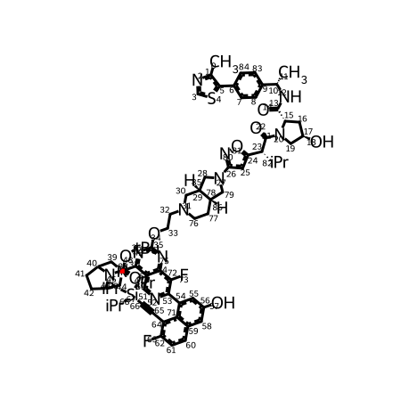 Cc1ncsc1-c1ccc([C@H](C)NC(=O)[C@@H]2C[C@@H](O)CN2C(=O)[C@@H](c2cc(N3C[C@H]4CN(CCOc5nc(N6CC7CCC(C6)N7C(=O)OC(C)(C)C)c6cnc(-c7cc(O)cc8ccc(F)c(C#C[Si](C(C)C)(C(C)C)C(C)C)c78)c(F)c6n5)CC[C@H]4C3)no2)C(C)C)cc1